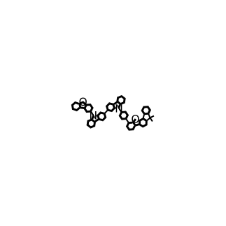 CC1(C)c2ccccc2-c2c1ccc1c2oc2c(-c3ccc(-n4c5ccccc5c5ccc(-c6ccc7c8ccccc8n(-c8ccc9oc%10ccccc%10c9c8)c7c6)cc54)cc3)cccc21